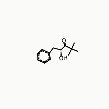 CC(C)(C)C(=O)[C@@H](O)Cc1ccccc1